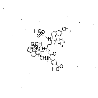 Cc1ccc2c3c(ccc2c1)[N+](CCCS(=O)(=O)O)=C(/C=C/C(=C/C=C1/N(C)c2ccc4cccc(S(=O)(=O)O)c4c2C1(C)C)CCC(=O)Nc1ccc(C(=O)O)cc1)C3(C)C